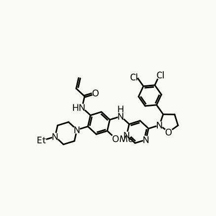 C=CC(=O)Nc1cc(Nc2cc(N3OCCC3c3ccc(Cl)c(Cl)c3)ncn2)c(OC)cc1N1CCN(CC)CC1